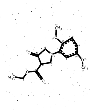 CCOC(=O)C1CN(c2cc(OC)ccc2OC)CC1=O